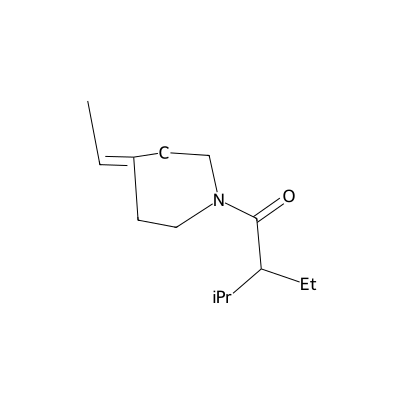 CC=C1CCN(C(=O)C(CC)C(C)C)CC1